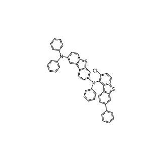 Clc1ccc2sc3cc(-c4ccccc4)ccc3c2c1N(c1ccccc1)c1ccc2c(c1)sc1ccc(N(c3ccccc3)c3ccccc3)cc12